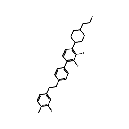 CCCC1CCC(c2ccc(-c3ccc(CCc4ccc(C)c(F)c4)cc3)c(F)c2F)CC1